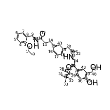 CCOc1ccccc1CNC(=O)CCc1cccc(C[C@@H](C)NC[C@H](O[Si](C)(C)C(C)(C)C)c2ccc(O)c(CO)c2)c1